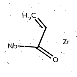 C=C[C](=O)[Nb].[Zr]